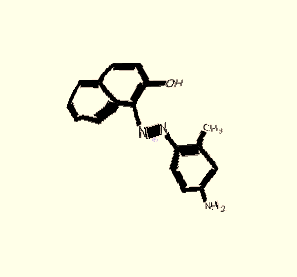 Cc1cc(N)ccc1/N=N/c1c(O)ccc2ccccc12